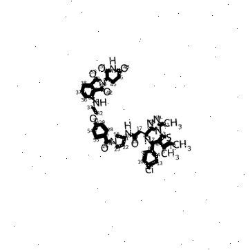 Cc1sc2c(c1C)C(c1ccc(Cl)cc1)=N[C@@H](CC(=O)N[C@H]1CCN(C(=O)c3ccc(OCCNc4cccc5c4C(=O)N(C4CCC(=O)NC4=O)C5=O)cc3)C1)c1nnc(C)n1-2